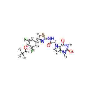 Cn1c(=O)c2c(ccn2CC(=O)Nc2nc(-c3cc(F)c(OCC(C)(C)C)c(F)c3)cs2)n(C)c1=O